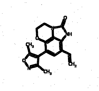 C=Cc1cc(-c2c(C)noc2C)c2c3c1[nH]c(=O)n3CCO2